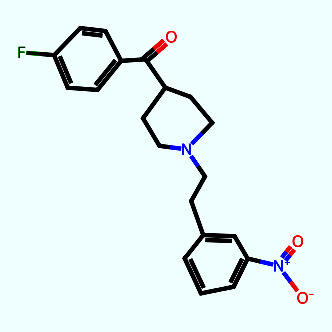 O=C(c1ccc(F)cc1)C1CCN(CCc2cccc([N+](=O)[O-])c2)CC1